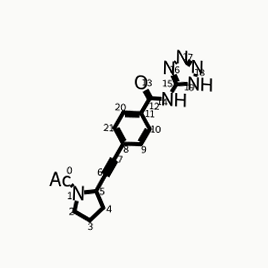 CC(=O)N1CCCC1C#Cc1ccc(C(=O)Nc2nnn[nH]2)cc1